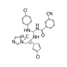 C[C@](Cn1ccnc1)(NC(NC(=O)c1cccc(C#N)c1)Nc1ccc(Cl)cc1)C1C=CC(Cl)=C1